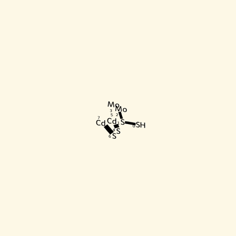 S[S][Mo].[Mo].[S]=[Cd].[S]=[Cd]